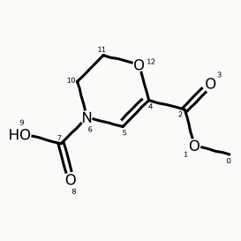 COC(=O)C1=CN(C(=O)O)CCO1